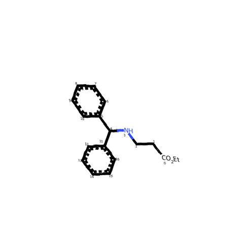 CCOC(=O)CCNC(c1ccccc1)c1ccccc1